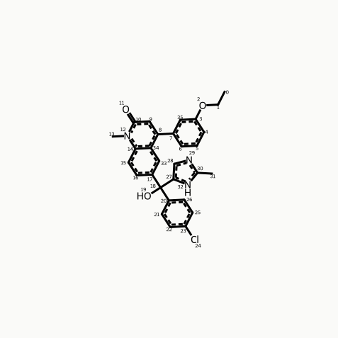 CCOc1cccc(-c2cc(=O)n(C)c3ccc(C(O)(c4ccc(Cl)cc4)c4cnc(C)[nH]4)cc23)c1